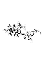 CSc1ccc2c(C)c(C(=O)/C=C/c3cc(C(C)C)c(OC(C)(C)C(=O)OC(C)(C)C)c(C(C)C)c3)oc2c1